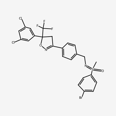 CS(=O)(=NCc1ccc(C2=NOC(c3cc(Cl)cc(Cl)c3)(C(F)(F)F)C2)cc1)c1ccc(Br)cc1